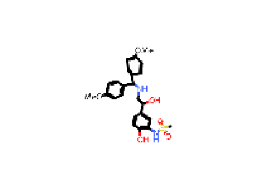 COc1ccc(C(NCC(O)c2ccc(O)c(NS(C)(=O)=O)c2)c2ccc(OC)cc2)cc1